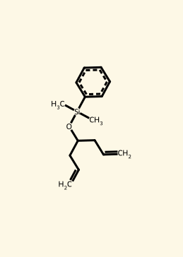 C=CCC(CC=C)O[Si](C)(C)c1ccccc1